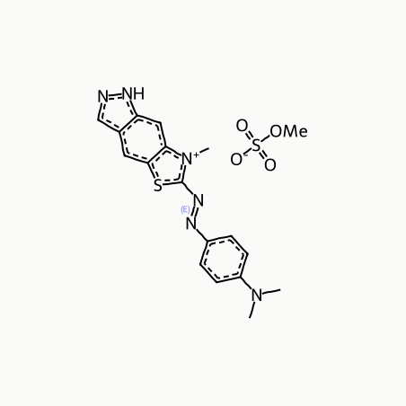 CN(C)c1ccc(/N=N/c2sc3cc4cn[nH]c4cc3[n+]2C)cc1.COS(=O)(=O)[O-]